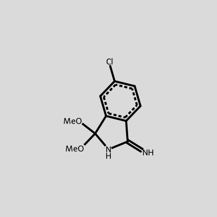 COC1(OC)NC(=N)c2ccc(Cl)cc21